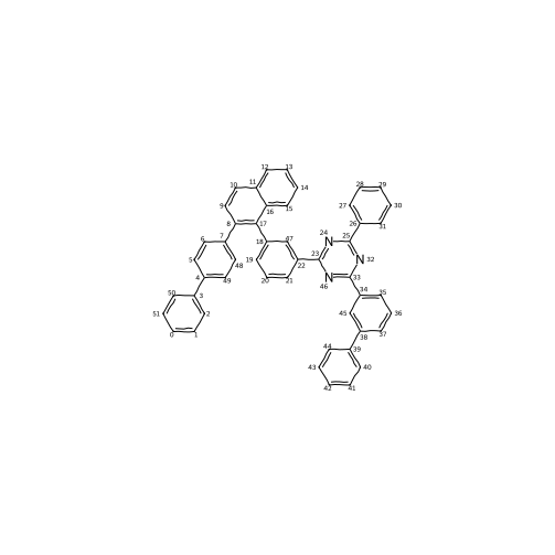 c1ccc(-c2ccc(-c3ccc4ccccc4c3-c3cccc(-c4nc(-c5ccccc5)nc(-c5cccc(-c6ccccc6)c5)n4)c3)cc2)cc1